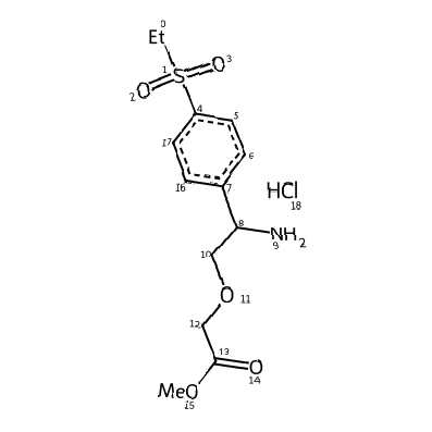 CCS(=O)(=O)c1ccc(C(N)COCC(=O)OC)cc1.Cl